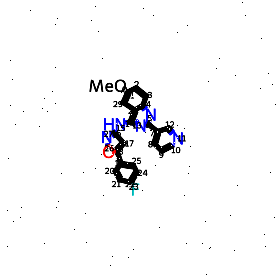 COc1ccc2nc(-c3cccnc3)nc(Nc3cc(-c4ccc(F)cc4)on3)c2c1